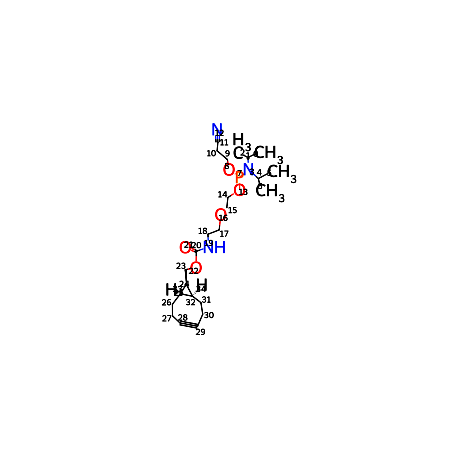 CC(C)N(C(C)C)P(OCCC#N)OCCOCCNC(=O)OC[C@@H]1[C@@H]2CCC#CCC[C@@H]21